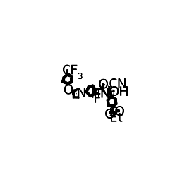 CCS(=O)(=O)c1ccc([C@@](O)(CC#N)NC(=O)c2ccc(N3CC[C@@H](Oc4ccc(C(F)(F)F)cc4)C3)cc2F)cc1